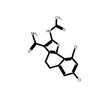 CC(=O)Nc1sc2c(c1C(N)=O)CCc1cc(Cl)cc(Cl)c1-2